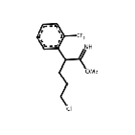 COC(=N)C(CCCCl)c1ccccc1C(F)(F)F